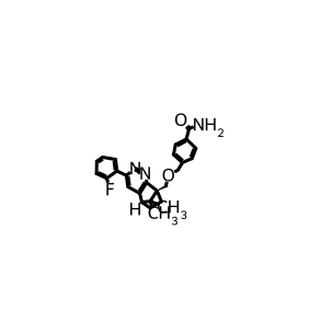 CC1(C)[C@@H]2CC[C@@]1(COCc1ccc(C(N)=O)cc1)c1nnc(-c3ccccc3F)cc12